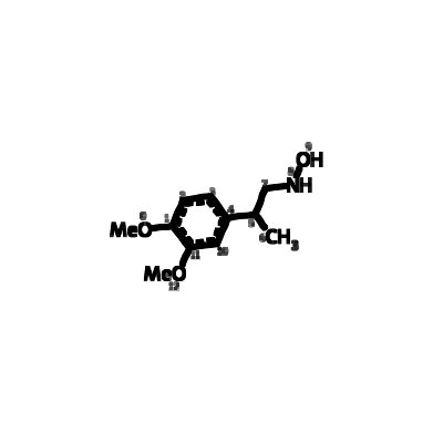 COc1ccc(C(C)CNO)cc1OC